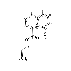 C=CCOC(=O)c1cccc2[nH]ccc(=O)c12